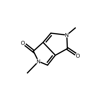 CN1C=C2C(=O)N(C)C=C2C1=O